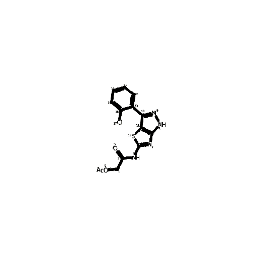 CC(=O)OCC(=O)Nc1nc2[nH]nc(-c3ccccc3Cl)c2s1